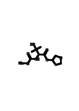 CC(C)(C)OC(=O)N[C@H](C(=O)OC1CCOC1)C(C)(C)O